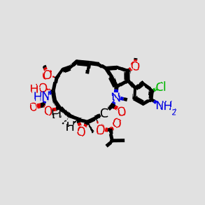 COc1cc2cc(c1-c1ccc(N)c(Cl)c1)N(C)C(=O)C[C@H](OC(=O)C(C)C)[C@]1(C)O[C@H]1[C@H](C)[C@@H]1C[C@@](O)(NC(=O)O1)[C@H](OC)/C=C/C=C(\C)C2